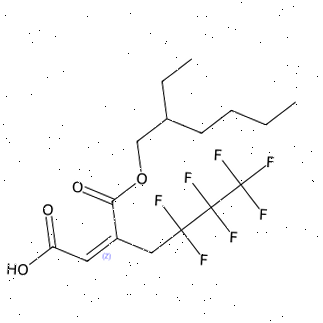 CCCCC(CC)COC(=O)/C(=C\C(=O)O)CC(F)(F)C(F)(F)C(F)(F)F